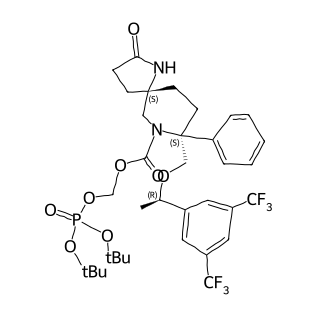 C[C@@H](OC[C@@]1(c2ccccc2)CC[C@]2(CCC(=O)N2)CN1C(=O)OCOP(=O)(OC(C)(C)C)OC(C)(C)C)c1cc(C(F)(F)F)cc(C(F)(F)F)c1